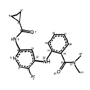 CC(=O)c1cnc(NC(=O)C2CC2)cc1Nc1ccccc1C(=O)N(C)C